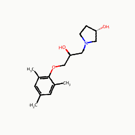 [CH2]c1cc(C)c(OCC(O)CN2CC[C@H](O)C2)c(C)c1